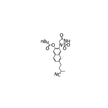 CCCCC(=O)Oc1cc2ccc(CCC(C)C#N)cc2cc1N1CC(=O)NS1(=O)=O